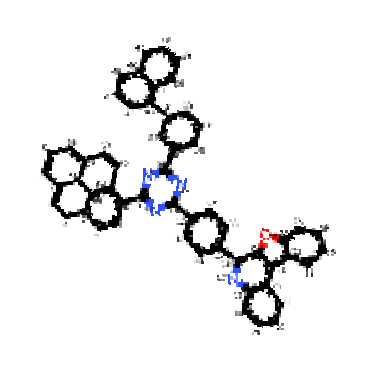 C1=CC2=CCc3ccc(-c4nc(-c5ccc(-c6nc7ccccc7c7c6oc6ccccc67)cc5)nc(-c5cccc(-c6cccc7ccccc67)c5)n4)c4c3C2C(=C1)C=C4